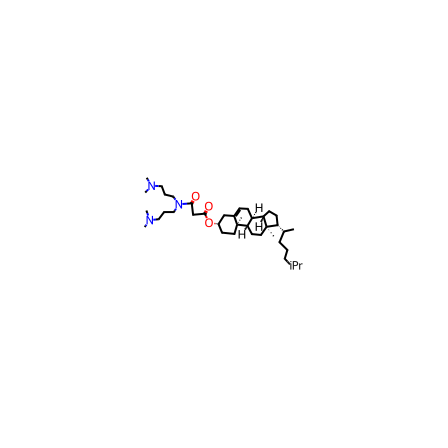 CC(C)CCCC(C)[C@H]1CC[C@H]2[C@@H]3CC=C4C[C@@H](OC(=O)CC(=O)N(CCCN(C)C)CCCN(C)C)CC[C@]4(C)[C@H]3CC[C@]12C